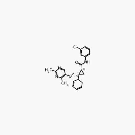 Cc1ncc(OC[C@@]2(C3C=CC=CC3)C[C@H]2C(=O)Nc2cccc(Cl)n2)c(C)n1